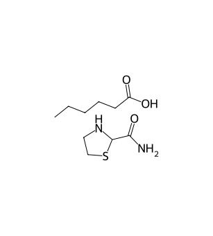 CCCCCC(=O)O.NC(=O)C1NCCS1